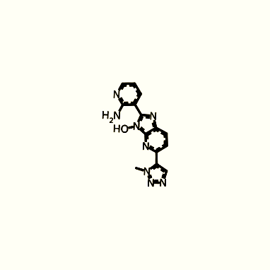 Cn1nncc1-c1ccc2nc(-c3cccnc3N)n(O)c2n1